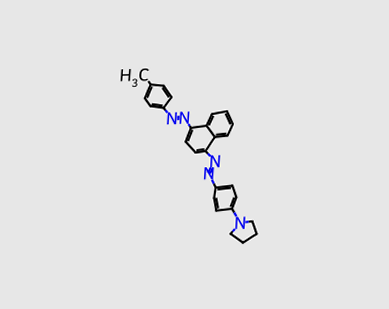 Cc1ccc(N=Nc2ccc(N=Nc3ccc(N4CCCC4)cc3)c3ccccc23)cc1